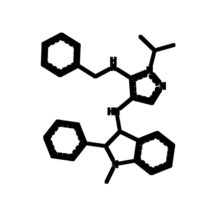 CC(C)n1ncc(NC2c3ccccc3N(C)C2c2ccccc2)c1NCc1ccccc1